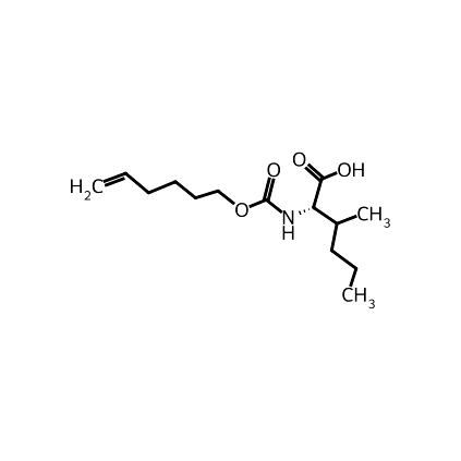 C=CCCCCOC(=O)N[C@H](C(=O)O)C(C)CCC